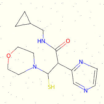 O=C(NCC1CC1)C(c1cnccn1)C(S)N1CCOCC1